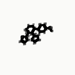 COc1ccc(-c2ccnc(-c3ccco3)c2-c2cccs2)cc1